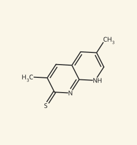 Cc1c[nH]c2nc(=S)c(C)cc-2c1